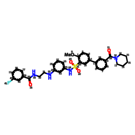 COc1ccc(-c2cccc(C(=O)N3CCCCC3)c2)cc1S(=O)(=O)Nc1cccc(NCCNC(=O)c2cccc(F)c2)c1